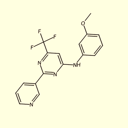 COc1cccc(Nc2cc(C(F)(F)F)nc(-c3cccnc3)n2)c1